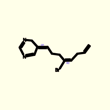 C=CC/C=C(/Br)CC/C=C1\C=NC=NC1